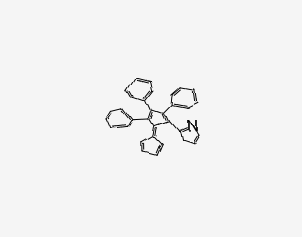 C1=CC(=C2C(C3=NC=CC3)=C(c3ccccc3)C(c3ccccc3)=C2c2ccccc2)C=C1